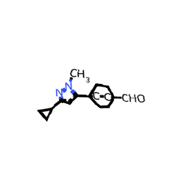 Cn1nc(C2CC2)cc1C12CCC(C=O)(CC1)CC2